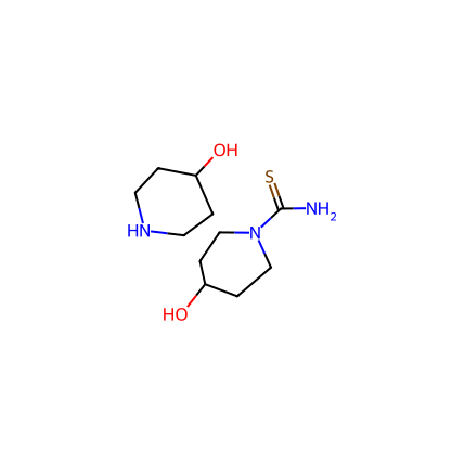 NC(=S)N1CCC(O)CC1.OC1CCNCC1